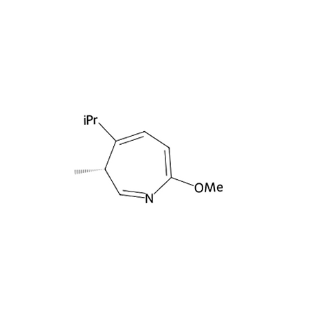 COC1=CC=C(C(C)C)[C@@H](C)C=N1